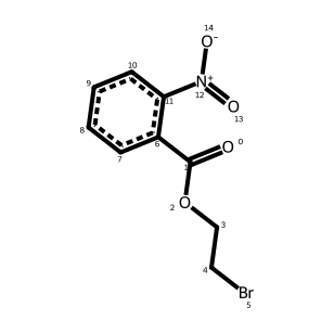 O=C(OCCBr)c1ccccc1[N+](=O)[O-]